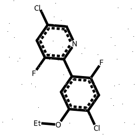 CCOc1cc(-c2ncc(Cl)cc2F)c(F)cc1Cl